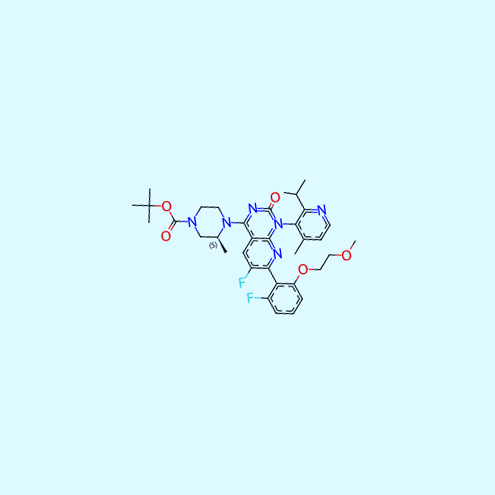 COCCOc1cccc(F)c1-c1nc2c(cc1F)c(N1CCN(C(=O)OC(C)(C)C)C[C@@H]1C)nc(=O)n2-c1c(C)ccnc1C(C)C